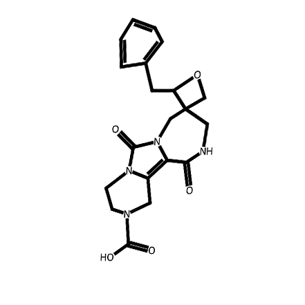 O=C1NCC2(COC2Cc2ccccc2)Cn2c1c1n(c2=O)CCN(C(=O)O)C1